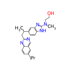 CC(C)c1ccc2nc(C[C@@H](C)c3ccc4[nH]c(N(C)CCO)nc4c3)ncc2c1